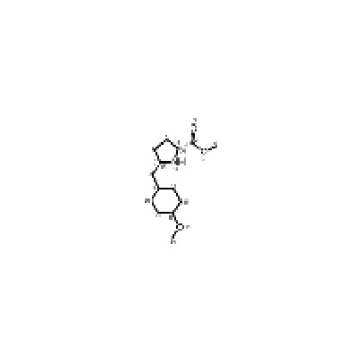 COC(=O)[C@H]1CC[C@H](CC2CCC(OC)CC2)N1